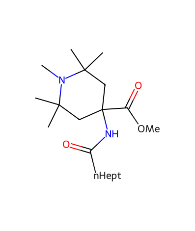 CCCCCCCC(=O)NC1(C(=O)OC)CC(C)(C)N(C)C(C)(C)C1